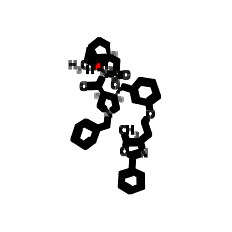 Cc1oc(-c2ccccc2)nc1CCOc1cccc(C[C@@H]2CN(Cc3ccccc3)C[C@H]2C(=O)N2[C@@H]3CC4CC[C@]3(CS2(=O)=O)C4(C)C)c1